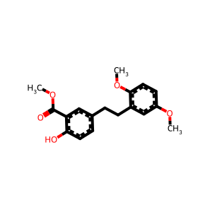 COC(=O)c1cc(CCc2cc(OC)ccc2OC)ccc1O